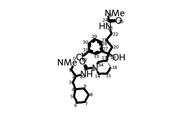 CNCC(CC1CCCCC1)NC(=O)N1CCC[C@@H]([C@@](O)(CCCNC(=O)NC)c2cccc(Cl)c2)C1